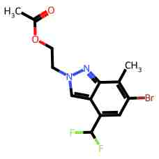 CC(=O)OCCn1cc2c(C(F)F)cc(Br)c(C)c2n1